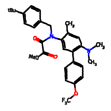 COC(=O)C(=O)N(Cc1ccc(C(C)(C)C)cc1)c1cc(-c2ccc(OC(F)(F)F)cc2)c(N(C)C)cc1C